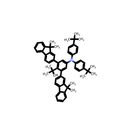 CC(C)(C)c1ccc(N(c2ccc(C(C)(C)C)cc2)c2cc(-c3ccc4c(c3)C(C)(C)c3ccccc3-4)c(C(C)(C)C)c(-c3ccc4c(c3)C(C)(C)c3ccccc3-4)c2)cc1